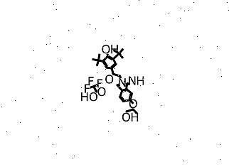 CC(CO)Oc1ccc2c(c1)C(=N)N(CC(=O)c1cc(C(C)(C)C)c(O)c(C(C)(C)C)c1)C2.O=C(O)C(F)(F)F